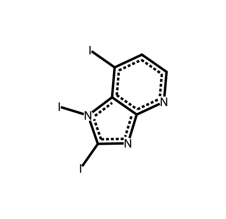 Ic1ccnc2nc(I)n(I)c12